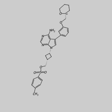 Cc1ccc(S(=O)(=O)OC[C@H]2C[C@@H](n3cc(-c4cccc(OC[C@H]5CCCCO5)c4)c4c(N)ncnc43)C2)cc1